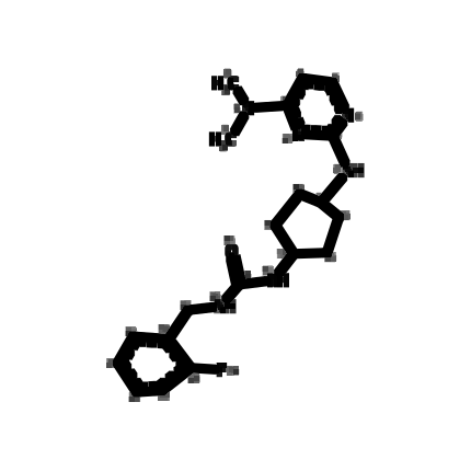 CN(C)c1ccnc(NC2CCC(NC(=O)NCc3ccccc3F)CC2)n1